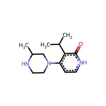 CC1CN(c2cc[nH]c(=O)c2C(C)C)CCN1